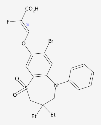 CCC1(CC)CN(c2ccccc2)c2cc(Br)c(O/C=C(\F)C(=O)O)cc2S(=O)(=O)C1